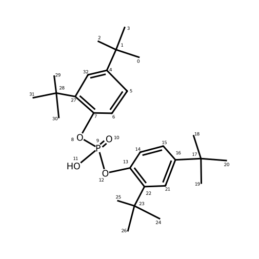 CC(C)(C)c1ccc(OP(=O)(O)Oc2ccc(C(C)(C)C)cc2C(C)(C)C)c(C(C)(C)C)c1